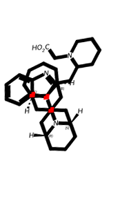 O=C(O)CN1CCCCC1Cc1nc2ccccc2n1C1C[C@H]2CCC[C@@H](C1)N2C1C[C@H]2CCCC[C@@H](C1)C2